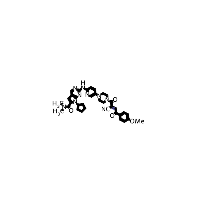 COc1ccc(C(=O)/C=C(\C#N)C(=O)N2CCN(c3ccc(Nc4ncc5cc(C(=O)N(C)C)n(C6CCCC6)c5n4)nc3)CC2)cc1